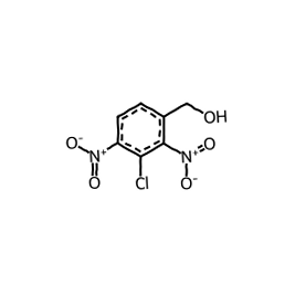 O=[N+]([O-])c1ccc(CO)c([N+](=O)[O-])c1Cl